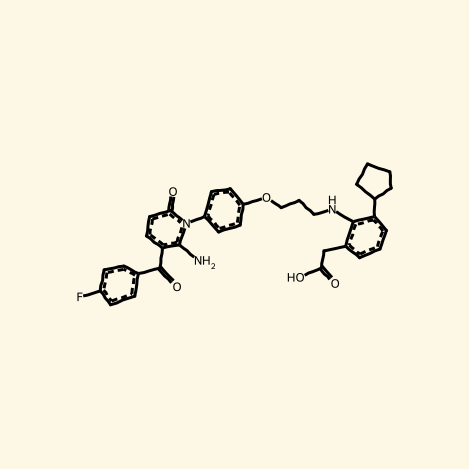 Nc1c(C(=O)c2ccc(F)cc2)ccc(=O)n1-c1ccc(OCCCNc2c(CC(=O)O)cccc2C2CCCC2)cc1